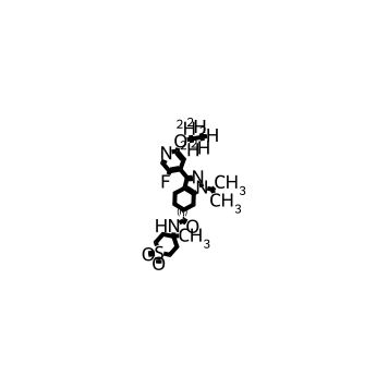 [2H]C([2H])([2H])C([2H])([2H])Oc1cc(-c2nn(C(C)C)c3c2CC[C@@H](C(=O)NC2(C)CCS(=O)(=O)CC2)C3)c(F)cn1